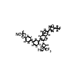 CC(C)(C#N)Oc1ccc(-c2cccc(N(CC34CCC(c5noc(C(C)(C)F)n5)(CC3)CC4)C(=O)[C@H]3C[C@](O)(C(F)(F)F)C3)c2)cc1